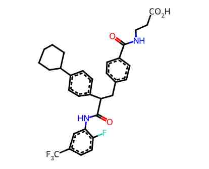 O=C(O)CCNC(=O)c1ccc(CC(C(=O)Nc2cc(C(F)(F)F)ccc2F)c2ccc(C3CCCCC3)cc2)cc1